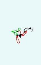 COC(=O)CC(=O)Cl.ClCCl